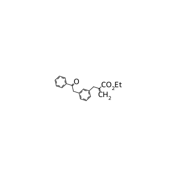 C=C(Cc1cccc(CC(=O)c2ccccc2)c1)C(=O)OCC